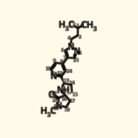 CC(C)CCn1cc(-c2ccnc([C@H]3CC[C@@]4(CCN(C)C4=O)N3)c2)cn1